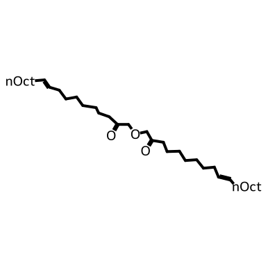 CCCCCCCCC=CCCCCCCCC(=O)COCC(=O)CCCCCCCC=CCCCCCCCC